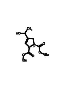 CC(O)C1=CN(C(=O)OC(C)(C)C)[C@H](C(=O)OC(C)(C)C)C1